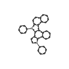 c1ccc(-n2ccc3c2c2ccccc2c2c4c5ccccc5ccc4n(-c4ccccc4)c32)cc1